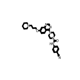 N#Cc1ccc(NC(=O)N2CCN(c3ncnc4cc(OCCCN5CCCCC5)ccc34)CC2)cc1